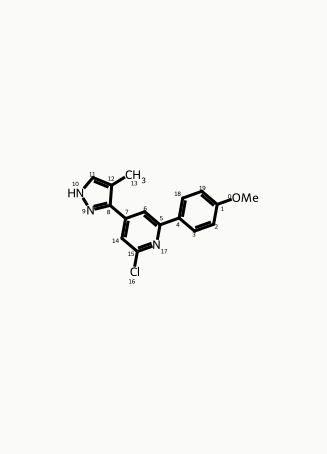 COc1ccc(-c2cc(-c3n[nH]cc3C)cc(Cl)n2)cc1